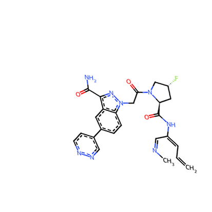 C=C/C=C(\C=N/C)NC(=O)[C@@H]1C[C@@H](F)CN1C(=O)Cn1nc(C(N)=O)c2cc(-c3ccnnc3)ccc21